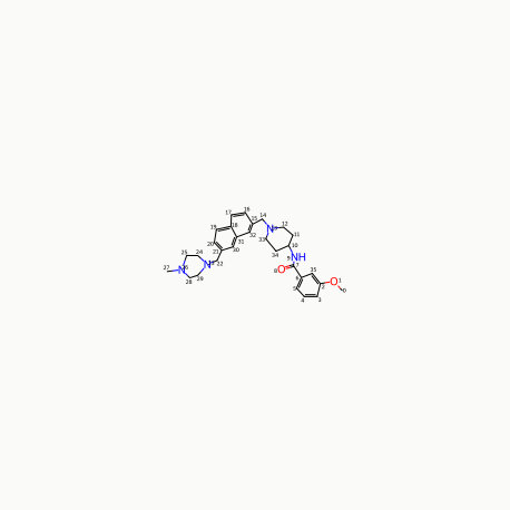 COc1cccc(C(=O)NC2CCN(Cc3ccc4ccc(CN5CCN(C)CC5)cc4c3)CC2)c1